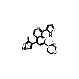 Cc1n[nH]cc1-c1cc(N2CCOC[C@H]2C)nc2c(-c3ccn[nH]3)nccc12